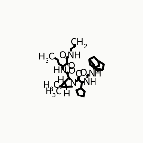 C=CCNC(=O)C(=O)C(CCC)NC(=O)C1[C@@H]2[C@H](CN1C(=O)C(NC(=O)NC13CC4CC(CC(C4)C1)C3)C1CCCC1)C2(C)C